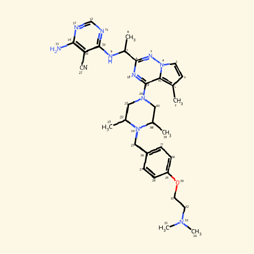 Cc1ccn2nc(C(C)Nc3ncnc(N)c3C#N)nc(N3CC(C)N(Cc4ccc(OCCN(C)C)cc4)C(C)C3)c12